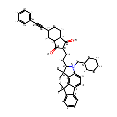 CC1(C)c2ccccc2-c2ccc3c(c21)C(C)(C)C(CCC1C(=O)C2CCC(C#Cc4ccccc4)CC2C1=O)N3CC1CCCCC1